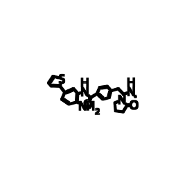 CNC(Cc1ccc(C(=O)Nc2cc(-c3cccs3)ccc2N)cc1)N1CCCC1=O